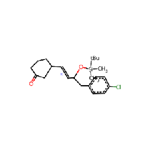 CC(C)(C)[Si](C)(C)OC(/C=C/C1CCCC(=O)C1)Cc1ccc(Cl)cc1